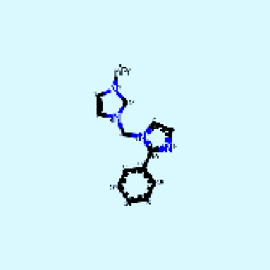 CCCN1C=CN(Cn2ccnc2-c2c[c]ccc2)C1